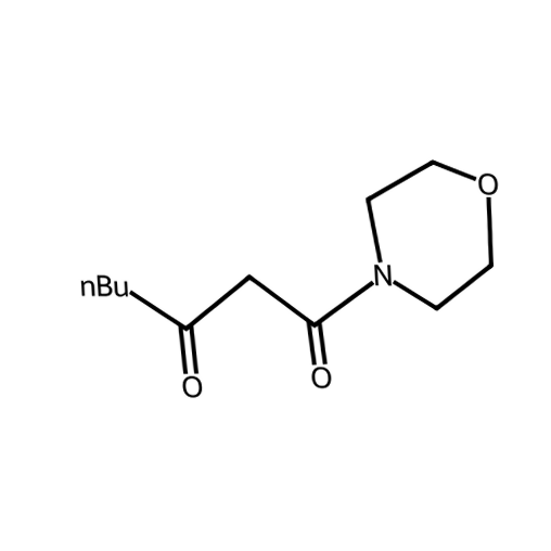 CCCCC(=O)CC(=O)N1CCOCC1